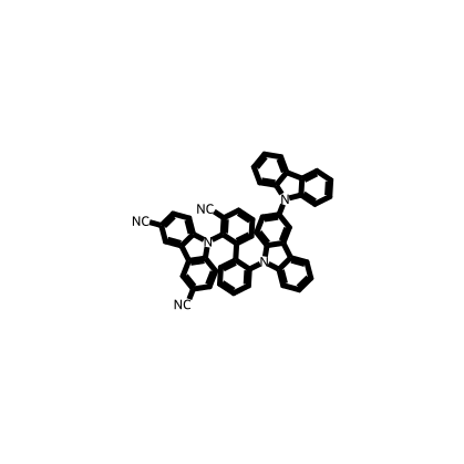 N#Cc1ccc2c(c1)c1cc(C#N)ccc1n2-c1c(C#N)cccc1-c1ccccc1-n1c2ccccc2c2cc(-n3c4ccccc4c4ccccc43)ccc21